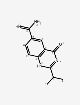 CC(C)c1nc(=O)c2cc(C(=N)N)ccc2[nH]1